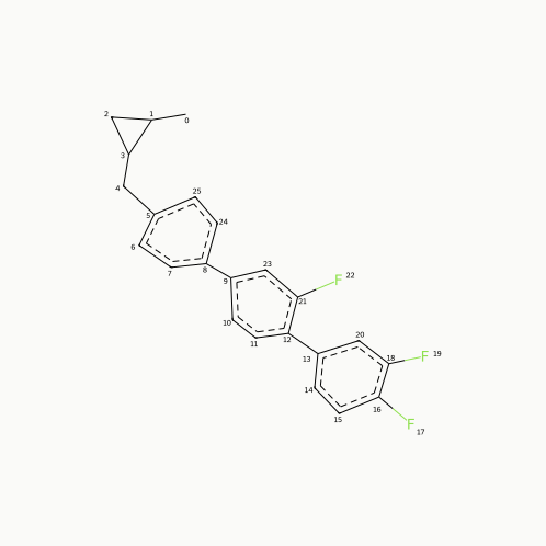 CC1CC1Cc1ccc(-c2ccc(-c3ccc(F)c(F)c3)c(F)c2)cc1